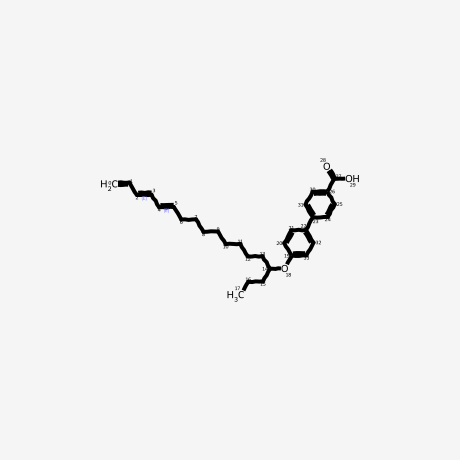 C=C/C=C/C=C/CCCCCCCCC(CCC)Oc1ccc(-c2ccc(C(=O)O)cc2)cc1